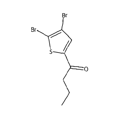 CCCC(=O)c1cc(Br)c(Br)s1